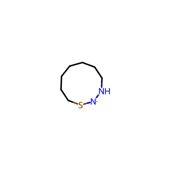 C1CCCN[N]SCCC1